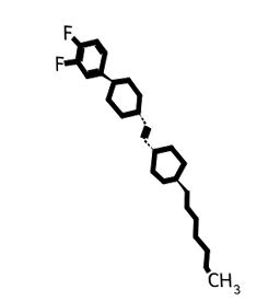 CCCCCCC[C@H]1CC[C@H](C=C[C@H]2CC[C@H](c3ccc(F)c(F)c3)CC2)CC1